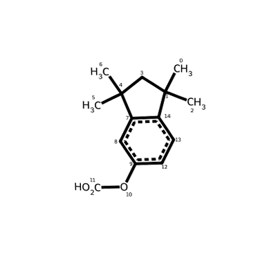 CC1(C)CC(C)(C)c2cc(OC(=O)O)ccc21